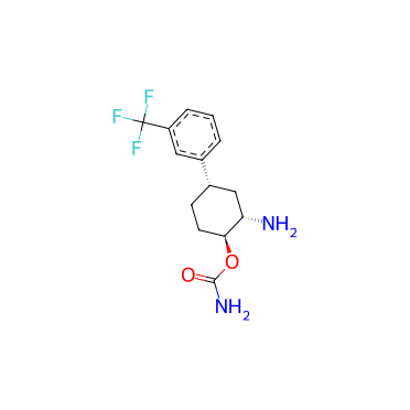 NC(=O)O[C@H]1CC[C@H](c2cccc(C(F)(F)F)c2)C[C@@H]1N